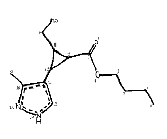 CCCCOC(=O)C1C(CC)C1c1c[nH]nc1C